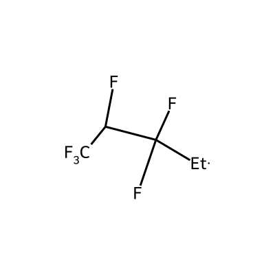 C[CH]C(F)(F)C(F)C(F)(F)F